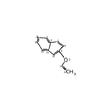 C=COc1ccc2c[c]ccc2c1